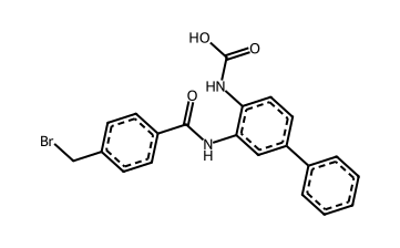 O=C(O)Nc1ccc(-c2ccccc2)cc1NC(=O)c1ccc(CBr)cc1